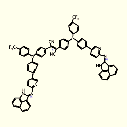 N#C/C(=C(/C#N)c1ccc(N(c2ccc(-c3ccc(/N=C4\Nc5cccc6cccc4c56)nc3)cc2)c2ccc(C(F)(F)F)cc2)cc1)c1ccc(N(c2ccc(-c3ccc(/N=C4\Nc5cccc6cccc4c56)nc3)cc2)c2ccc(C(F)(F)F)cc2)cc1